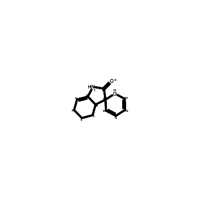 O=C1NC2=CCCCC2C12C=CC=CO2